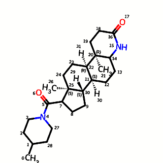 CC1CCN(C(=O)C2CC[C@H]3[C@@H]4CCC5NC(=O)CC[C@]5(C)[C@@H]4CC[C@]23C)CC1